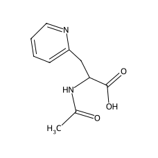 CC(=O)NC(Cc1ccccn1)C(=O)O